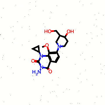 COc1c(N2CCC(O)C(CO)C2)ccc2c(=O)n(N)c(=O)n(C3CC3)c12